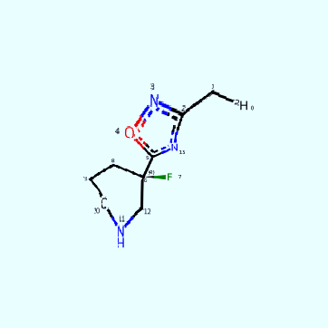 [2H]Cc1noc([C@@]2(F)CCCNC2)n1